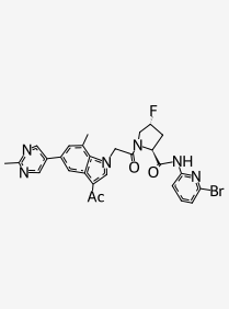 CC(=O)c1cn(CC(=O)N2C[C@H](F)C[C@H]2C(=O)Nc2cccc(Br)n2)c2c(C)cc(-c3cnc(C)nc3)cc12